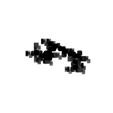 COC(=O)C(CCNC(=O)CCSc1cc(-c2cc(C(=O)OC(C)(C)C)c(C)cc2C)nc(N)n1)NC(=O)OC(C)(C)C